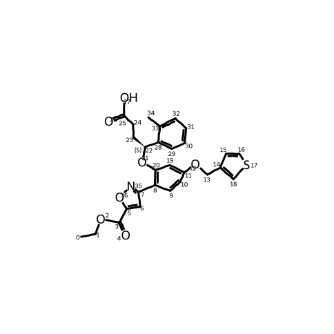 CCOC(=O)c1cc(-c2ccc(OCc3ccsc3)cc2O[C@@H](CCC(=O)O)c2ccccc2C)no1